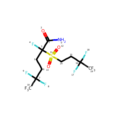 NC(=O)C(F)(CCC(F)(F)C(F)(F)F)S(=O)(=O)CCC(F)(F)C(F)(F)F